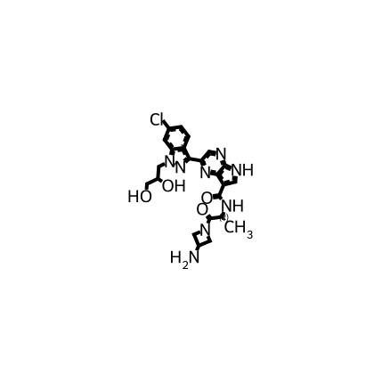 C[C@@H](NC(=O)c1c[nH]c2ncc(-c3nn(CC(O)CO)c4cc(Cl)ccc34)nc12)C(=O)N1CC(N)C1